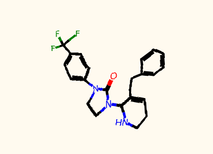 O=C1N(c2ccc(C(F)(F)F)cc2)CCN1C1NCCC=C1Cc1ccccc1